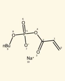 C=CC(=O)OP(=O)([O-])OCCCC.[Na+]